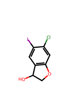 OC1COc2cc(Cl)c(I)cc21